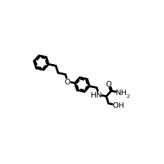 NC(=O)C(CO)NCc1ccc(OCCCc2ccccc2)cc1